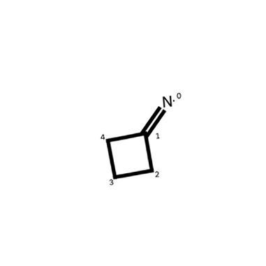 [N]=C1CCC1